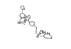 Nc1ccc(-c2cccs2)cc1NC(=O)c1ccc(CCP(=O)(O)Cc2cccnc2)cc1